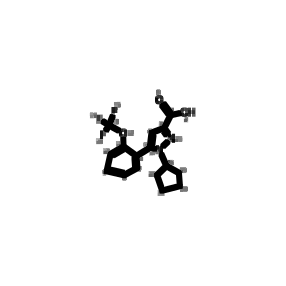 O=C(O)c1cc(-c2ccccc2OC(F)(F)F)n(C2CCCC2)n1